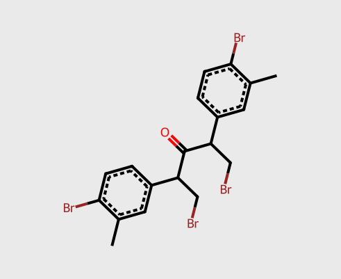 Cc1cc(C(CBr)C(=O)C(CBr)c2ccc(Br)c(C)c2)ccc1Br